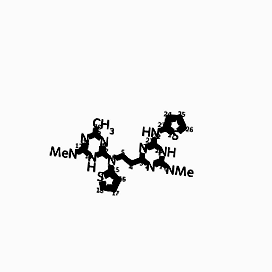 CNC1=NC(CCN(C2=NC(C)N=C(NC)N2)c2cccs2)N=C(Nc2cccs2)N1